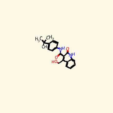 CC(C)(C)c1ccc(NC(=O)c2c(CO)c3ccccc3[nH]c2=O)cc1